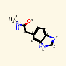 CNC(=O)Cc1ccc2nc[nH]c2c1